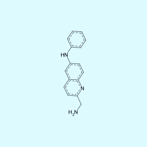 NCc1ccc2cc(Nc3ccccc3)ccc2n1